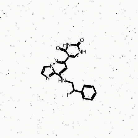 O=c1[nH]cc(-c2cc(NCC(F)c3ccccc3)c3nccn3n2)c(=O)[nH]1